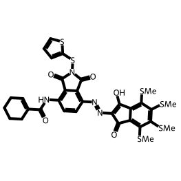 CSc1c(SC)c(SC)c2c(c1SC)C(=O)C(N=Nc1ccc(NC(=O)C3=CCCCC3)c3c1C(=O)N(Sc1cccs1)C3=O)=C2O